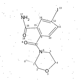 C[C@H]1COCCN1C(=O)c1ccc(I)cc1C(N)=O